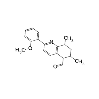 COc1ccccc1-c1ccc2c(n1)C(C)CC(C)C2C=O